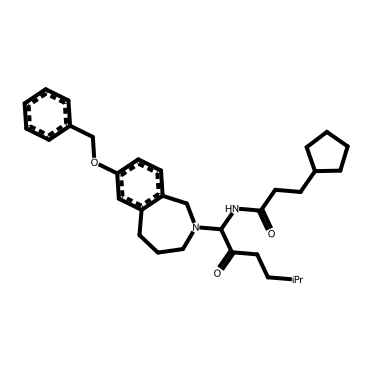 CC(C)CCC(=O)C(NC(=O)CCC1CCCC1)N1CCCc2cc(OCc3ccccc3)ccc2C1